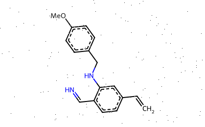 C=Cc1ccc(C=N)c(NCc2ccc(OC)cc2)c1